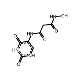 O=C(CC(=O)Nc1c[nH]c(=O)[nH]c1=O)NO